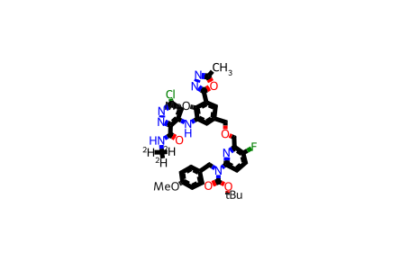 [2H]C([2H])([2H])NC(=O)c1nnc(Cl)cc1Nc1cc(COCc2nc(N(Cc3ccc(OC)cc3)C(=O)OC(C)(C)C)ccc2F)cc(-c2nnc(C)o2)c1OC